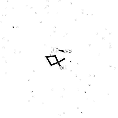 CC1(O)CCC1.O=CO